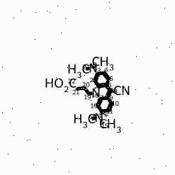 CN(C)c1ccc2c(C#N)c3ccc(=[N+](C)C)cc-3n(CCCC(=O)O)c2c1